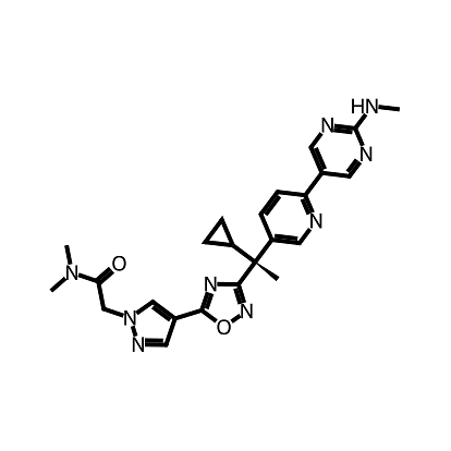 CNc1ncc(-c2ccc([C@](C)(c3noc(-c4cnn(CC(=O)N(C)C)c4)n3)C3CC3)cn2)cn1